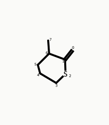 C=C1SCCCC1C